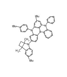 CC(C)(C)c1ccc(N2c3cc(N4c5ccc(C(C)(C)C)cc5C5(C)CCC45C)ccc3B3c4ccccc4N(c4ccccc4)c4cc(C(C)(C)C)cc2c43)cc1